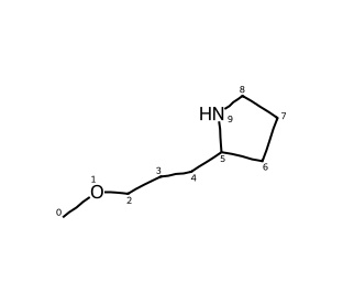 COCCCC1CCCN1